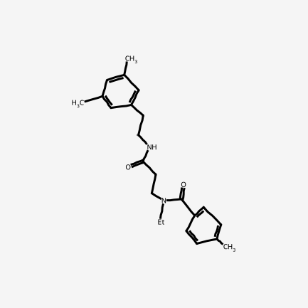 CCN(CCC(=O)N[CH]Cc1cc(C)cc(C)c1)C(=O)c1ccc(C)cc1